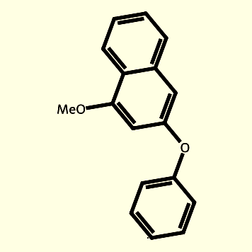 COc1cc(Oc2cc[c]cc2)cc2ccccc12